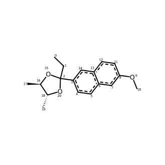 CCC1(c2ccc3cc(OC)ccc3c2)O[C@H](C)[C@@H](C)O1